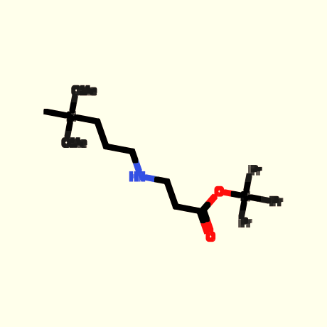 CO[Si](C)(CCCNCCC(=O)O[Si](C(C)C)(C(C)C)C(C)C)OC